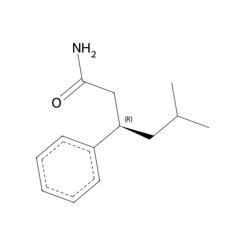 CC(C)C[C@H](CC(N)=O)c1ccccc1